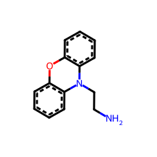 NCCN1c2ccccc2Oc2ccccc21